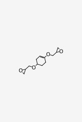 C1=C(OCC2CO2)CCC(OCC2CO2)C1